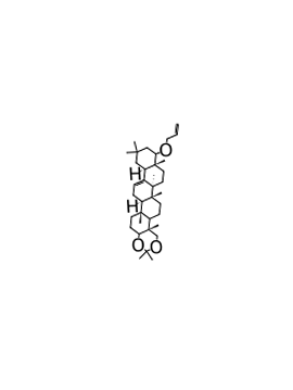 C=CCO[C@@H]1CC(C)(C)C[C@@H]2C3=CC[C@@H]4[C@@]5(C)CCC6OC(C)(C)OC[C@@]6(C)C5CC[C@@]4(C)[C@]3(C)CC[C@]21C